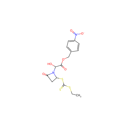 CCSC(=S)SC1CC(=O)N1C(O)C(=O)OCc1ccc([N+](=O)[O-])cc1